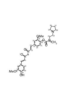 COc1cc(C=CC(=O)CC(=O)C=Cc2ccc(OC(=O)N(C)CCN3CCCC3)c(OC)c2)ccc1O